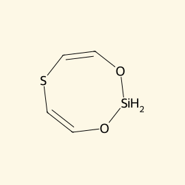 C1=CSC=CO[SiH2]O1